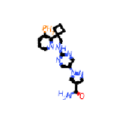 NC(=O)c1cnn(-c2cnc(NCC3(c4ncccc4P)CCC3)nc2)c1